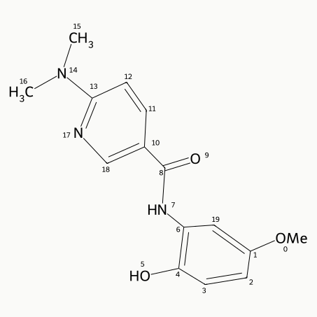 COc1ccc(O)c(NC(=O)c2ccc(N(C)C)nc2)c1